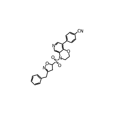 N#Cc1ccc(-c2cncc3c2OCCN3S(=O)(=O)C2CC(Cc3ccccc3)=NO2)cc1